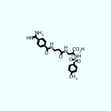 Cc1ccc(S(=O)(=O)N[C@@H](CNC(=O)CCNC(=O)c2ccc(C(=N)N)cc2)C(=O)O)cc1